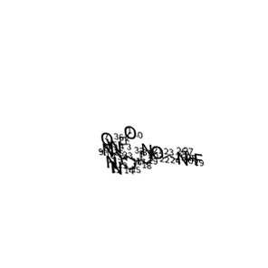 COC1CC(n2c(=O)n(C)c3nnc4ccc(-c5ccc(OCCCN6CC[C@@H](F)C6)nc5)cc4c32)C1